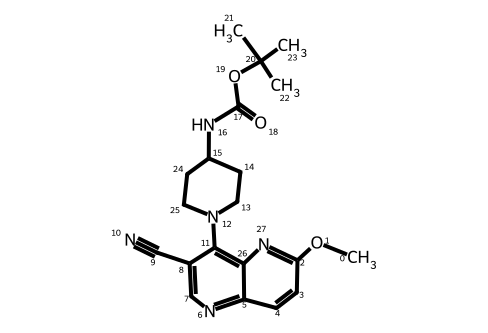 COc1ccc2ncc(C#N)c(N3CCC(NC(=O)OC(C)(C)C)CC3)c2n1